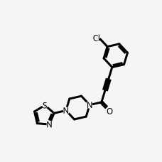 O=C(C#Cc1cccc(Cl)c1)N1CCN(c2nccs2)CC1